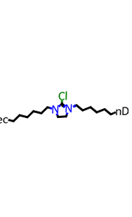 CCCCCCCCCCCCCCCCN1CC[N+](CCCCCCCCCCCCCCCC)=C1Cl